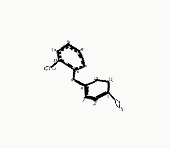 ClC1=CC=C(Cc2ccccc2Cl)[CH]C1